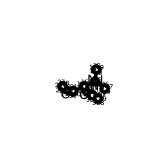 c1ccc(-c2nc(-c3ccccc3)nc(-c3ccc(-c4ccc5oc6ccccc6c5c4)c4oc5cc6ccccc6cc5c34)n2)cc1